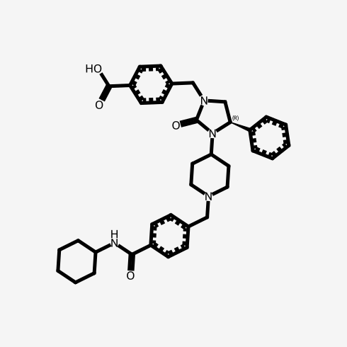 O=C(O)c1ccc(CN2C[C@@H](c3ccccc3)N(C3CCN(Cc4ccc(C(=O)NC5CCCCC5)cc4)CC3)C2=O)cc1